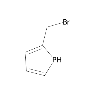 BrCc1ccc[pH]1